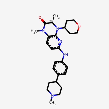 C[C@H]1C(=O)N(C)c2ccc(Nc3ccc(C4CCN(C)CC4)cc3)nc2N1C1CCOCC1